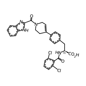 O=C(N[C@@H](Cc1ccc(C2=CCN(C(=O)c3nc4ccccc4[nH]3)CC2)cc1)C(=O)O)c1c(Cl)cccc1Cl